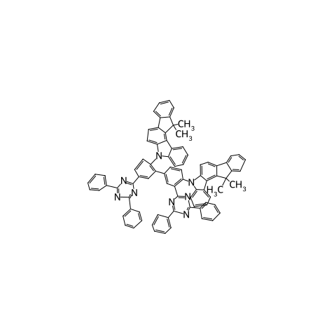 CC1(C)c2ccccc2-c2ccc3c(c21)c1ccccc1n3-c1ccc(-c2nc(-c3ccccc3)nc(-c3ccccc3)n2)cc1-c1ccc(-n2c3ccccc3c3c4c(ccc32)-c2ccccc2C4(C)C)c(-c2nc(-c3ccccc3)nc(-c3ccccc3)n2)c1